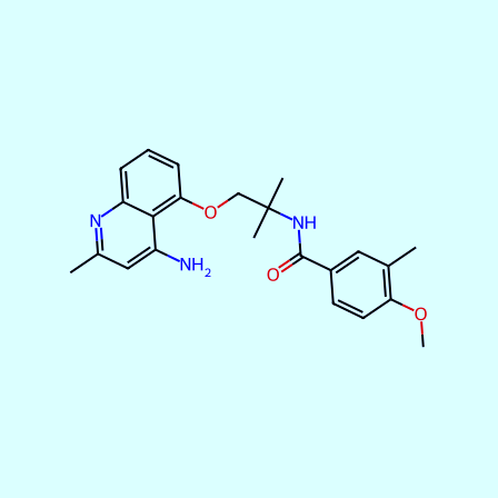 COc1ccc(C(=O)NC(C)(C)COc2cccc3nc(C)cc(N)c23)cc1C